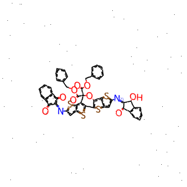 O=C1/C(=N\c2cc3sc4c(c3s2)OC(C(=O)OCc2ccccc2)(C(=O)OCc2ccccc2)c2c-4sc3cc(N=c4c(=O)c5ccccc5c4=O)sc23)C(O)c2ccccc21